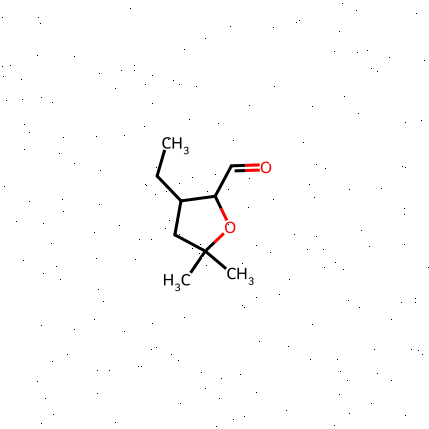 CCC1CC(C)(C)OC1C=O